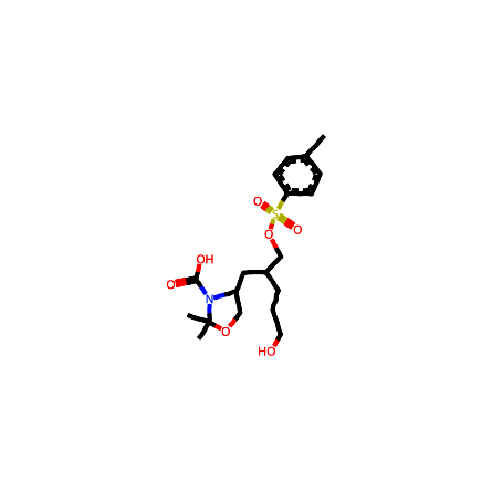 Cc1ccc(S(=O)(=O)OCC(CCCO)CC2COC(C)(C)N2C(=O)O)cc1